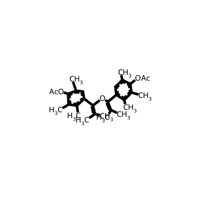 CC(=O)Oc1c(C)cc(C(OC(=C(C)C)c2cc(C)c(OC(C)=O)c(C)c2C)=C(C)C)c(C)c1C